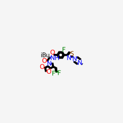 CCC(C)C(NC(=O)c1ccc(-c2csc(N3CCN(C)CC3)n2)c(F)c1)C(=O)N1CC(C=C(F)F)C2OCC(=O)C21